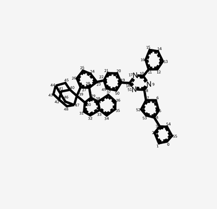 c1ccc(-c2ccc(-c3nc(-c4ccccc4)nc(-c4ccc(-c5cccc6c5-c5c(ccc7ccccc57)C65C6CC7CC(C6)CC5C7)cc4)n3)cc2)cc1